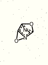 n1c2c3n(c1O2)O3